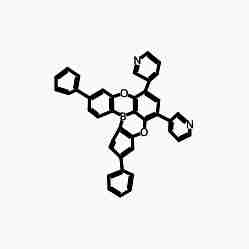 c1ccc(-c2ccc3c(c2)Oc2c(-c4cccnc4)cc(-c4cccnc4)c4c2B3c2ccc(-c3ccccc3)cc2O4)cc1